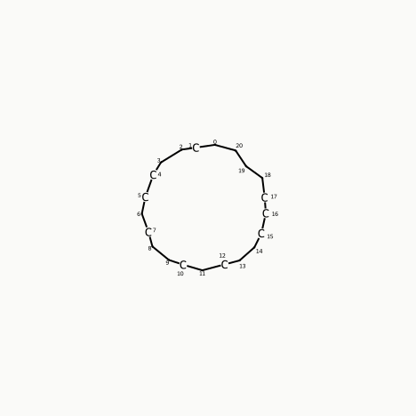 C1CCCCCCCCCCCCCCCCCCCC1